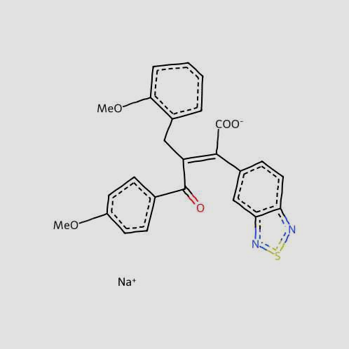 COc1ccc(C(=O)C(Cc2ccccc2OC)=C(C(=O)[O-])c2ccc3nsnc3c2)cc1.[Na+]